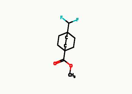 COC(=O)C12CCC(C(F)F)(CC1)CC2